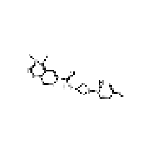 Cc1nnc2ccc(C(=O)NC3CN(c4ccc(Cl)cn4)C3)cc2c1C